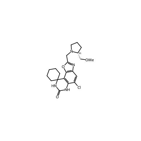 COC[C@H]1CCCN1Cc1nc2cc(Cl)c3c(c2o1)C1(CCCCC1)NC(=O)N3